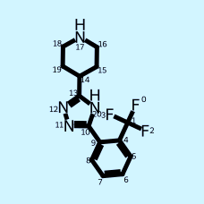 FC(F)(F)c1ccccc1-c1nnc(C2CCNCC2)[nH]1